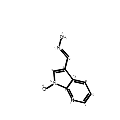 ON=Cc1cn(Cl)c2ncccc12